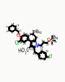 CCCCC(CCCC)Cc1c(-c2ccc(OCc3ccccc3)c(Cl)c2)c(C(=O)O)c(Cc2ccc(Cl)cc2)n1CCCO[Si](C)(C)C(C)(C)C